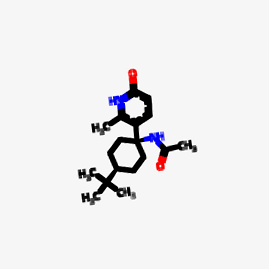 CC(=O)N[C@]1(c2ccc(=O)[nH]c2C)CC[C@H](C(C)(C)C)CC1